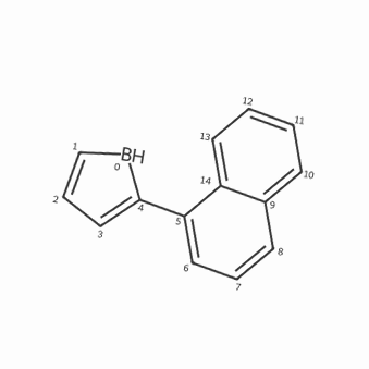 B1C=CC=C1c1cccc2ccccc12